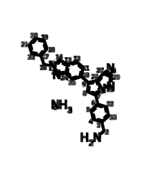 N.NCc1ccc(-c2cc(-c3ccc4cn(Cc5ccccc5)nc4c3)c3c4nc4nn23)cc1